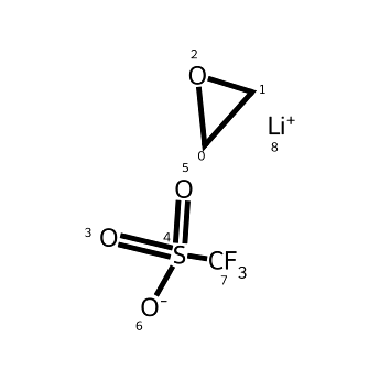 C1CO1.O=S(=O)([O-])C(F)(F)F.[Li+]